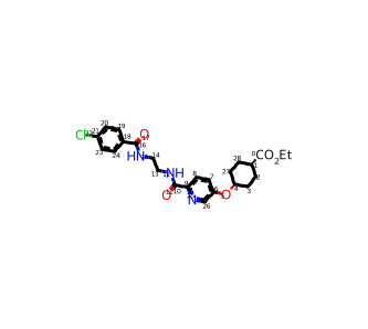 CCOC(=O)[C@H]1CC[C@@H](Oc2ccc(C(=O)NCCNC(=O)c3ccc(Cl)cc3)nc2)CC1